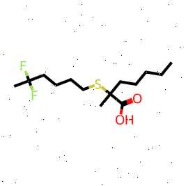 CCCCCC(C)(SCCCCC(C)(F)F)C(=O)O